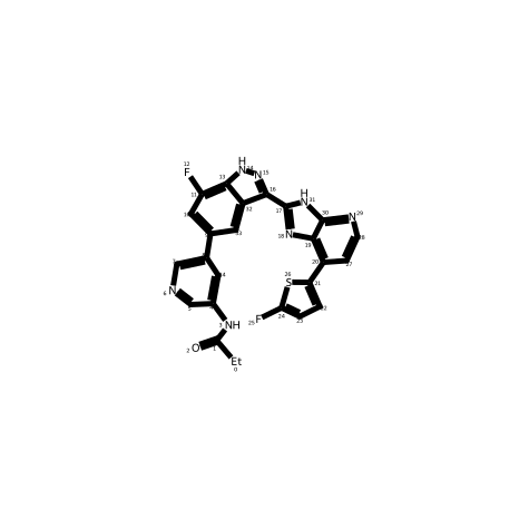 CCC(=O)Nc1cncc(-c2cc(F)c3[nH]nc(-c4nc5c(-c6ccc(F)s6)ccnc5[nH]4)c3c2)c1